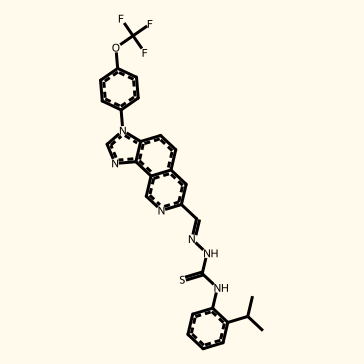 CC(C)c1ccccc1NC(=S)N/N=C/c1cc2ccc3c(ncn3-c3ccc(OC(F)(F)F)cc3)c2cn1